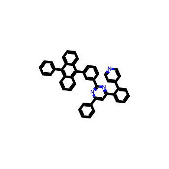 c1ccc(-c2cc(-c3ccccc3-c3ccncc3)nc(-c3cccc(-c4c5ccccc5c(-c5ccccc5)c5ccccc45)c3)n2)cc1